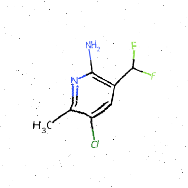 Cc1nc(N)c(C(F)F)cc1Cl